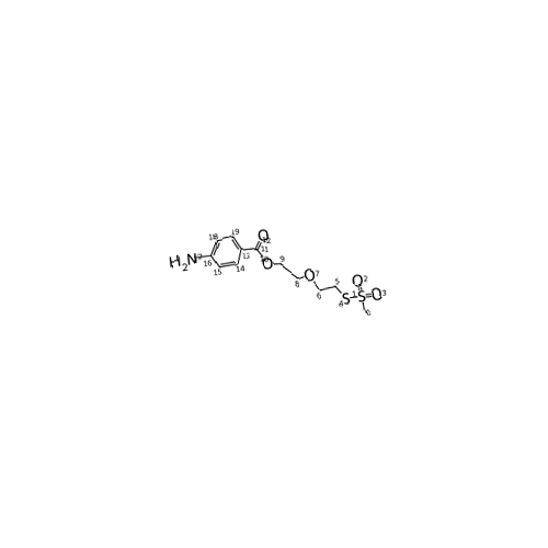 CS(=O)(=O)SCCOCCOC(=O)c1ccc(N)cc1